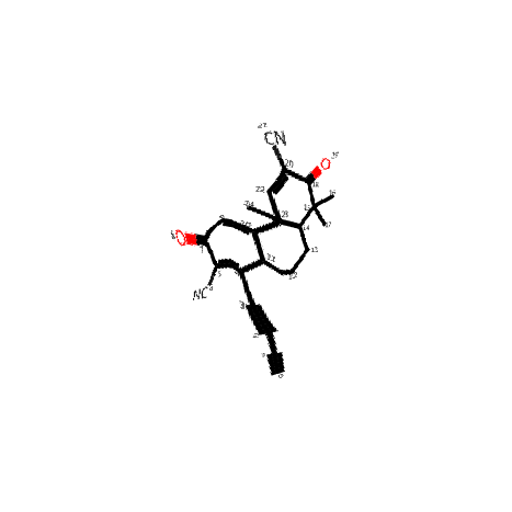 C#CC#CC1=C(C#N)C(=O)C=C2C1CCC1C(C)(C)C(=O)C(C#N)=CC21C